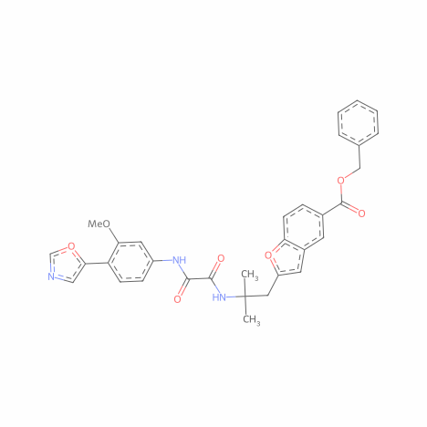 COc1cc(NC(=O)C(=O)NC(C)(C)Cc2cc3cc(C(=O)OCc4ccccc4)ccc3o2)ccc1-c1cnco1